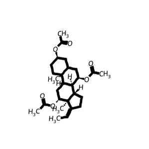 C/C=C1/CC[C@H]2[C@@H]3[C@H](OC(C)=O)CC4C[C@H](OC(C)=O)CC[C@]4(C)[C@H]3C[C@@H](OC(C)=O)[C@]12C